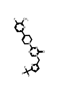 Cc1nc(C2=CCN(c3ncn(Cc4ccc(C(F)(F)F)s4)c(=O)n3)CC2)ccc1F